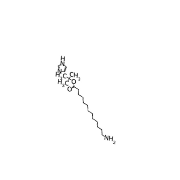 CC(C)(C)OC(=O)CCCCCCCCCCCCN.c1c[nH]cn1